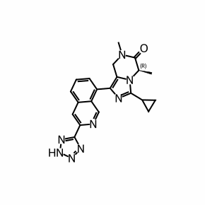 C[C@@H]1C(=O)N(C)Cc2c(-c3cccc4cc(-c5nn[nH]n5)ncc34)nc(C3CC3)n21